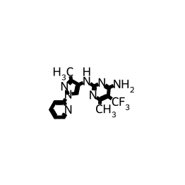 Cc1nn(-c2ccccn2)cc1Nc1nc(C)c(C(F)(F)F)c(N)n1